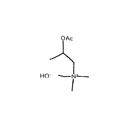 CC(=O)OC(C)C[N+](C)(C)C.[OH-]